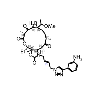 B[C@@]1(C(C)OC)CC[C@@H](C)C(=O)[C@H](C)[C@H]2N(C/C=C/Cn3cc(-c4cccc(N)c4)nn3)C(=O)O[C@]2(C)[C@@H](CC)OC(=O)[C@H](C)C(=O)[C@@H]1C